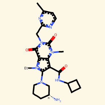 CCn1c(N2CCC[C@@H](N)C2)c(C(=O)NC2CCC2)c2c1c(=O)n(Cc1nccc(C)n1)c(=O)n2C